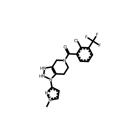 Cn1ccc(N2NNC3=C2CCN(C(=O)c2cccc(C(F)(F)F)c2Cl)C3)n1